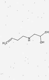 C=CCCNCC(C)O